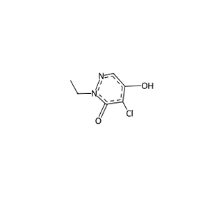 CCn1ncc(O)c(Cl)c1=O